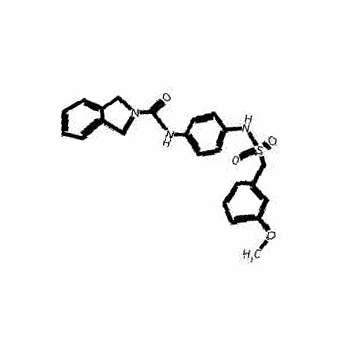 COc1cccc(CS(=O)(=O)Nc2ccc(NC(=O)N3Cc4ccccc4C3)cc2)c1